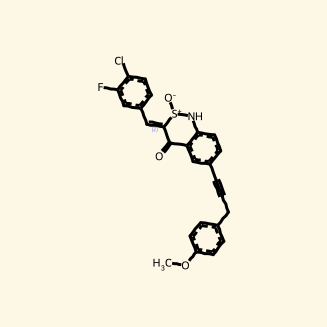 COc1ccc(CC#Cc2ccc3c(c2)C(=O)/C(=C/c2ccc(Cl)c(F)c2)[S+]([O-])N3)cc1